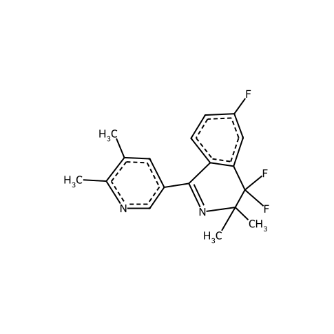 Cc1cc(C2=NC(C)(C)C(F)(F)c3cc(F)ccc32)cnc1C